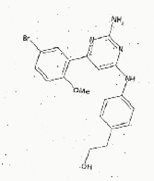 COc1ccc(Br)cc1-c1cc(Nc2ccc(CCO)cc2)nc(N)n1